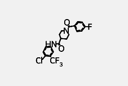 O=C(Nc1ccc(Cl)c(C(F)(F)F)c1)C1CCN(C(=O)c2ccc(F)cc2)CC1